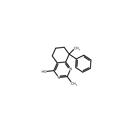 Cc1nc(O)c2c(n1)C(C)(c1ccccc1)CCC2